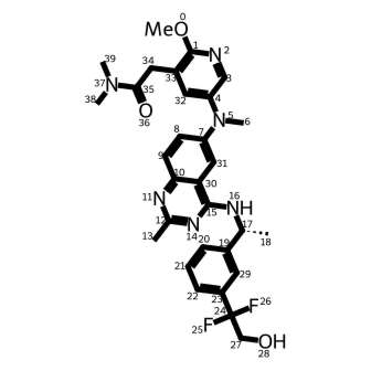 COc1ncc(N(C)c2ccc3nc(C)nc(N[C@H](C)c4cccc(C(F)(F)CO)c4)c3c2)cc1CC(=O)N(C)C